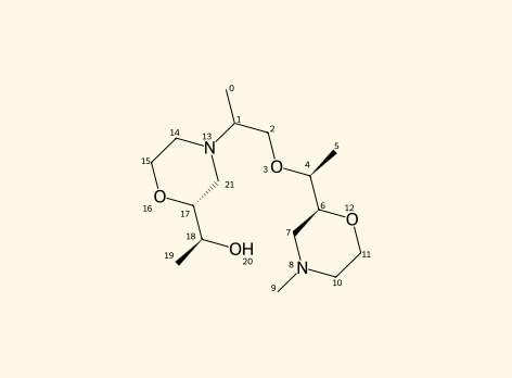 CC(CO[C@@H](C)[C@@H]1CN(C)CCO1)N1CCO[C@@H]([C@H](C)O)C1